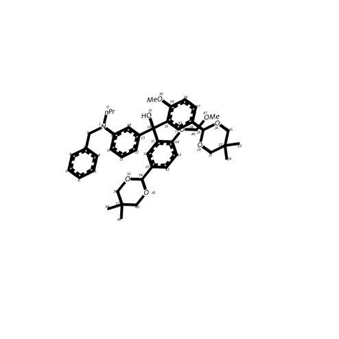 CCCN(Cc1ccccc1)c1cccc(C(O)(c2cc(C3OCC(C)(C)CO3)ccc2OC)c2cc(C3OCC(C)(C)CO3)ccc2OCOC)c1